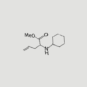 C=CCC(NC1CCCCC1)C(=O)OC